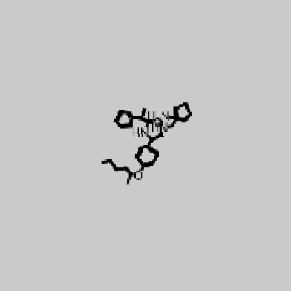 CCCCC(C)Oc1ccc(C(CNCC2(N)CCCC2)NC(=O)C(C)c2ccccc2)cc1